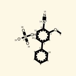 COc1cc(-c2ccccc2)ccc1[N+]#N.O=S(=O)([O-])O